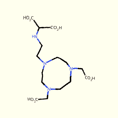 O=C(O)CN1CCN(CCNC(C(=O)O)C(=O)O)CCN(CC(=O)O)CC1